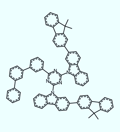 CC1(C)c2ccccc2-c2ccc(-c3ccc4c5ccccc5n(-c5nc(-c6cccc(-c7cccc(-c8ccccc8)c7)c6)nc(-n6c7ccccc7c7ccc(-c8ccc9c(c8)C(C)(C)c8ccccc8-9)cc76)n5)c4c3)cc21